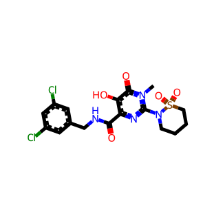 Cn1c(N2CCCCS2(=O)=O)nc(C(=O)NCc2cc(Cl)cc(Cl)c2)c(O)c1=O